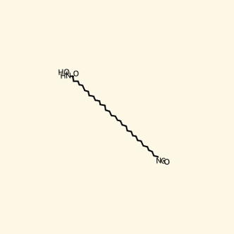 O=C=NCCCCCCCCCCCCCCCCCCCCCCCCCCCCCCCCC(=O)NO